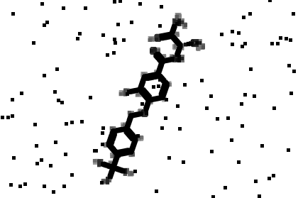 C[C@H](NC(=O)c1ccc(OCc2ccc(C(F)(F)F)cc2)c(F)c1)C(N)=O